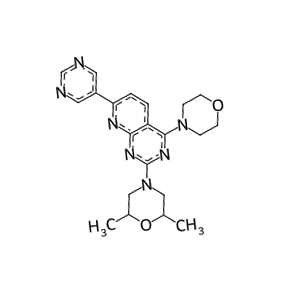 CC1CN(c2nc(N3CCOCC3)c3ccc(-c4cncnc4)nc3n2)CC(C)O1